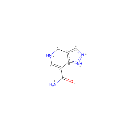 NC(=O)C1=CNCc2cn[nH]c21